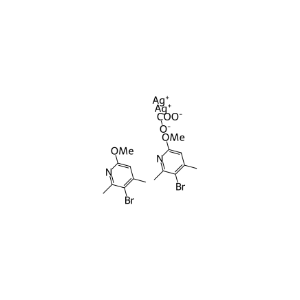 COc1cc(C)c(Br)c(C)n1.COc1cc(C)c(Br)c(C)n1.O=C([O-])[O-].[Ag+].[Ag+]